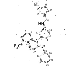 FC(F)(F)c1cccc2c(-c3cccc(NCc4cc(Br)cs4)c3)c(Cc3ccccc3)cnc12